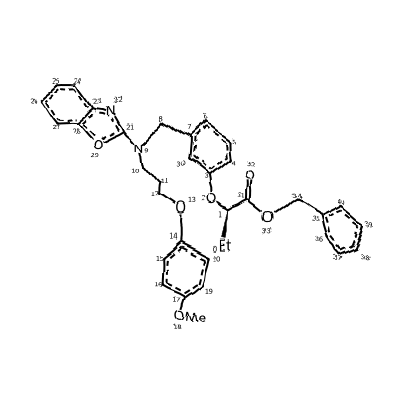 CC[C@@H](Oc1cccc(CN(CCCOc2ccc(OC)cc2)c2nc3ccccc3o2)c1)C(=O)OCc1ccccc1